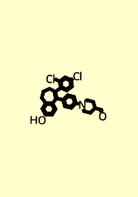 O=CC1CCN(c2ccc(C3=C(c4ccc(Cl)cc4Cl)CCCc4cc(O)ccc43)cc2)CC1